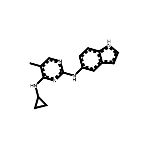 Cc1cnc(Nc2ccc3[nH]ccc3c2)nc1NC1CC1